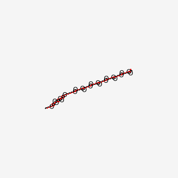 C=C(C)C(=O)OCCCCCC(=O)OCCCCCC(=O)OCCCCCC(=O)OCCCCCC(=O)OCCCCCC(=O)OCCCCCC(=O)OCCCCCC(=O)OCCCCCCCCOc1ccc(C(=O)Oc2ccc(OC(=O)c3ccc(OCCCCCC)cc3)cc2)cc1